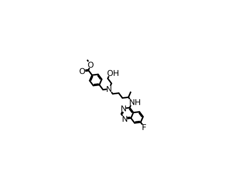 COC(=O)c1ccc(CN(CCO)CCCC(C)Nc2ncnc3cc(F)ccc23)cc1